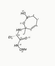 CC[C@H](NC1(C)C=CCCB(O)O1)C(=O)NOC